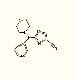 N#Cc1coc(N(c2ccccc2)N2CCOCC2)n1